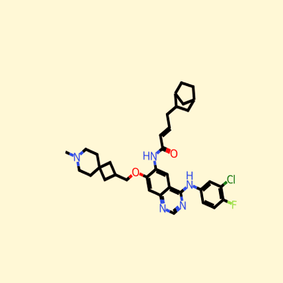 CN1CCC2(CC1)CC(COc1cc3ncnc(Nc4ccc(F)c(Cl)c4)c3cc1NC(=O)/C=C/CC1CC3CCC1C3)C2